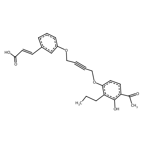 CCCc1c(OCC#CCOc2cccc(C=CC(=O)O)c2)ccc(C(C)=O)c1O